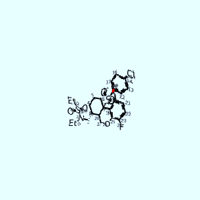 CCN(C[C@@H]1CCCC2(S(=O)(=O)c3ccc(Cl)cc3)c3c(F)ccc(F)c3OCC12)S(=O)(=O)CC